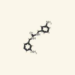 Nc1cccc(CNC(=O)NCc2cccc(N)c2)c1